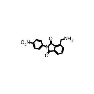 NCc1cccc2c1C(=O)N(c1ccc([N+](=O)[O-])cc1)C2=O